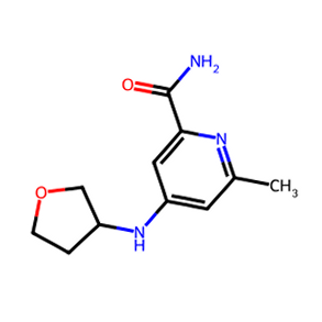 Cc1cc(NC2CCOC2)cc(C(N)=O)n1